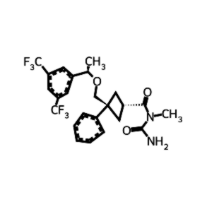 C[C@@H](OC[C@]1(c2ccccc2)C[C@@H](C(=O)N(C)C(N)=O)C1)c1cc(C(F)(F)F)cc(C(F)(F)F)c1